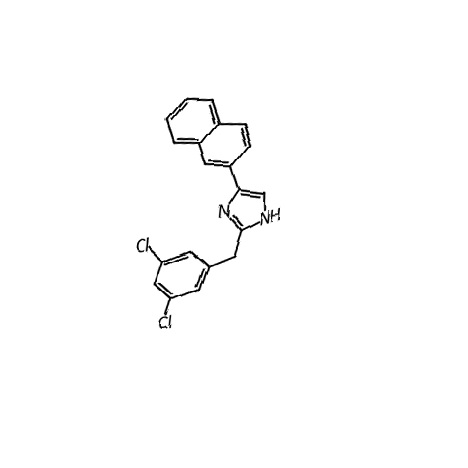 Clc1cc(Cl)cc(Cc2nc(-c3ccc4ccccc4c3)c[nH]2)c1